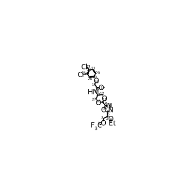 CCOC(COC(F)(F)F)c1nnc(C2OCC(NC(=O)COc3ccc(Cl)c(Cl)c3)CO2)o1